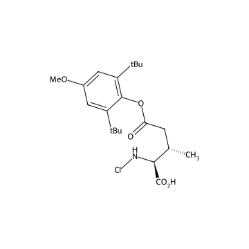 COc1cc(C(C)(C)C)c(OC(=O)C[C@H](C)[C@H](NCl)C(=O)O)c(C(C)(C)C)c1